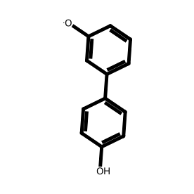 [O]c1cccc(-c2ccc(O)cc2)c1